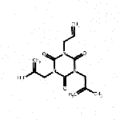 C=CCn1c(=O)n(CC(=C)C)c(=O)n(CC(=C)C)c1=O